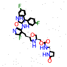 NC(=O)[C@@H](Nc1cncc(F)c1CC[C@@H]1CN[C@H](COC(=O)NC[C@@H]2CCC(=O)N2)CO1)C(c1ccc(F)cc1)c1ccc(F)cc1